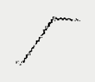 CCCCCCCCCCCCCCCCCC[N+](C)(C)CCCCOCCCCOCCCCOCCCCOCCCCS(=O)(=O)O